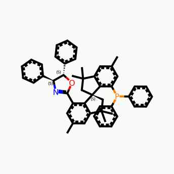 Cc1cc(C2=N[C@@H](c3ccccc3)[C@H](c3ccccc3)O2)c2c(c1)C(C)(C)C[C@]21CC(C)(C)c2cc(C)cc(P(c3ccccc3)c3ccccc3)c21